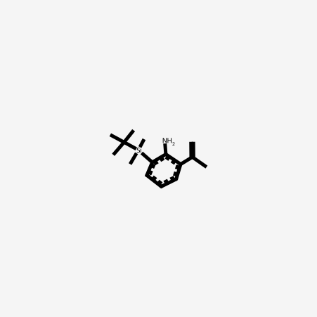 C=C(C)c1cccc([Si](C)(C)C(C)(C)C)c1N